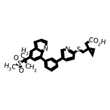 CC(C)(c1cc(-c2cccc(-c3ccc(SCC4(CC(=O)O)CC4)nc3)c2)c2ncccc2c1)S(C)(=O)=O